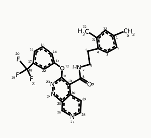 Cc1ccc(CCNC(=O)c2c(Oc3cccc(C(F)(F)F)c3)nnc3cnccc23)c(C)c1